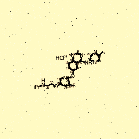 Cc1cnc(Nc2ncnc3ccc(Oc4ncc(OCCNC(C)C)cc4F)cc23)cn1.Cl